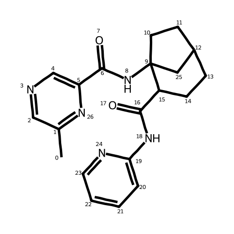 Cc1cncc(C(=O)NC23CCC(CCC2C(=O)Nc2ccccn2)C3)n1